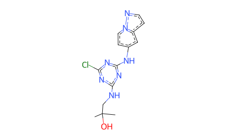 CC(C)(O)CNc1nc(Cl)nc(Nc2ccn3nccc3c2)n1